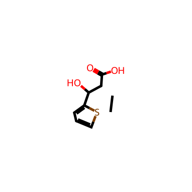 CC.O=C(O)CC(O)c1cccs1